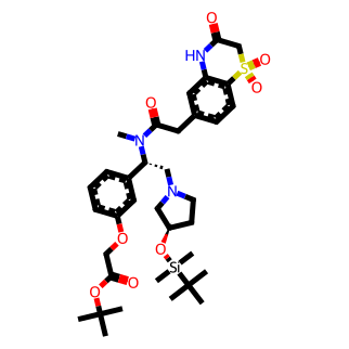 CN(C(=O)Cc1ccc2c(c1)NC(=O)CS2(=O)=O)[C@H](CN1CC[C@@H](O[Si](C)(C)C(C)(C)C)C1)c1cccc(OCC(=O)OC(C)(C)C)c1